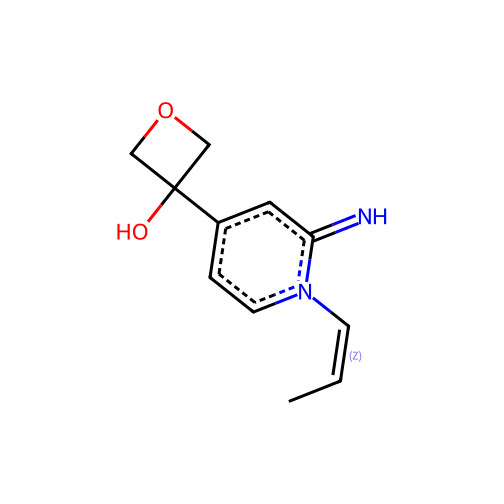 C/C=C\n1ccc(C2(O)COC2)cc1=N